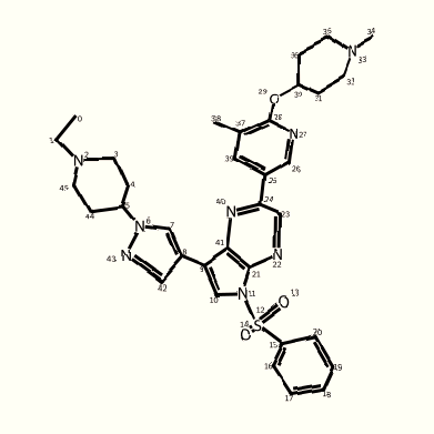 CCN1CCC(n2cc(-c3cn(S(=O)(=O)c4ccccc4)c4ncc(-c5cnc(OC6CCN(C)CC6)c(C)c5)nc34)cn2)CC1